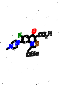 COCc1csc2c(C(=O)O)c(=O)c3cc(F)c(N4CCN(C)CC4)cc3n12